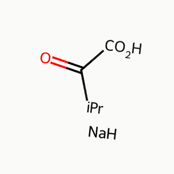 CC(C)C(=O)C(=O)O.[NaH]